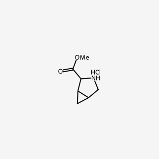 COC(=O)C1NCC2CC21.Cl